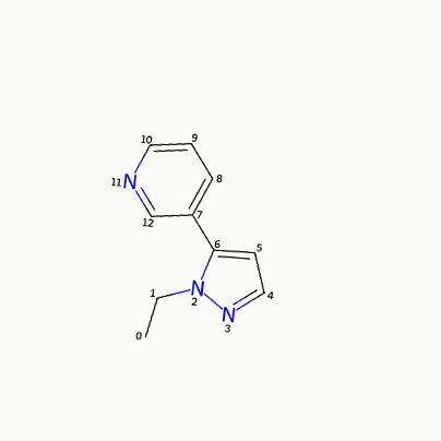 CCn1nccc1-c1cccnc1